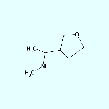 CNC(C)C1CCOC1